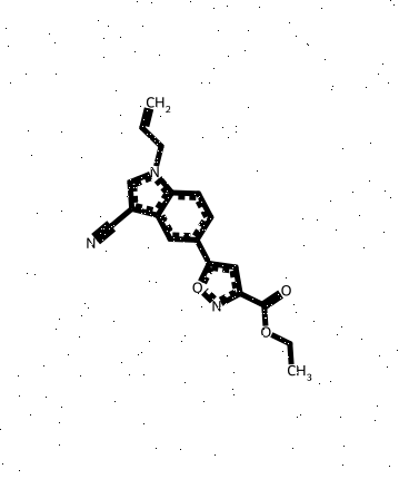 C=CCn1cc(C#N)c2cc(-c3cc(C(=O)OCC)no3)ccc21